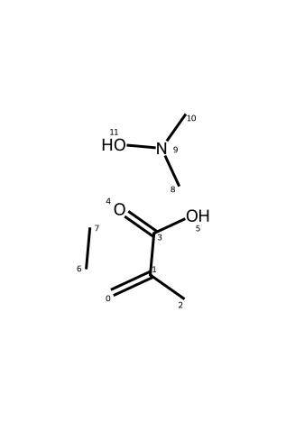 C=C(C)C(=O)O.CC.CN(C)O